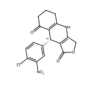 O=C1CCCC2=C1[C@@H](c1ccc(Cl)c([N+](=O)[O-])c1)C1=C(COC1=O)N2